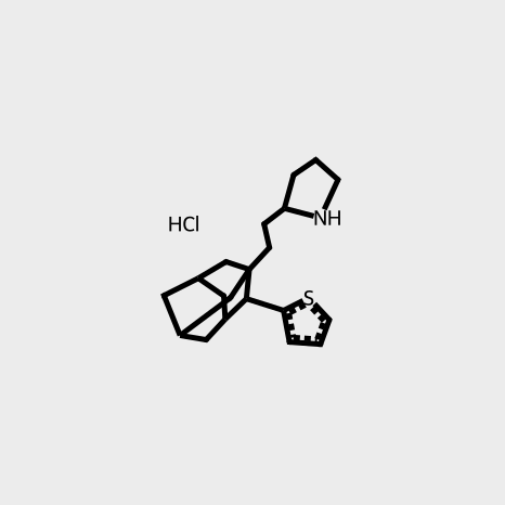 Cl.c1csc(C2C3CC4CC(C3)CC2(CCC2CCCN2)C4)c1